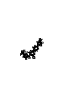 Cc1nc(N2CCC(n3cc(Br)cn3)CC2)nc(=O)n1Cc1ccc(C(C)(F)F)s1